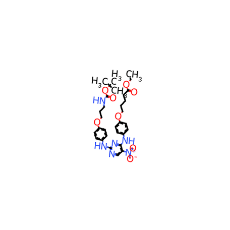 CCOC(=O)CCCCOc1ccc(Nc2nc(Nc3ccc(OCCCNC(=O)OC(C)(C)C)cc3)ncc2[N+](=O)[O-])cc1